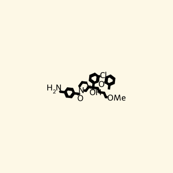 COCCCC[C@@](O)(c1cccc(Cl)c1Oc1ccccc1C)[C@@H]1CCCN(C(=O)c2ccc(CN)cc2)C1